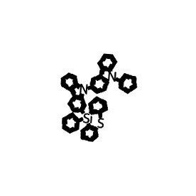 c1ccc(-n2c3ccccc3c3cc(-n4c5ccccc5c5ccc([Si]6(c7ccccc7)c7ccccc7Sc7ccccc76)cc54)ccc32)cc1